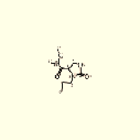 CCCN1C(=O)OC[C@@H]1C(=O)N(C)OC